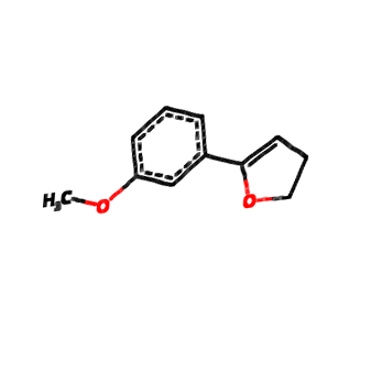 COc1cccc(C2=CCCO2)c1